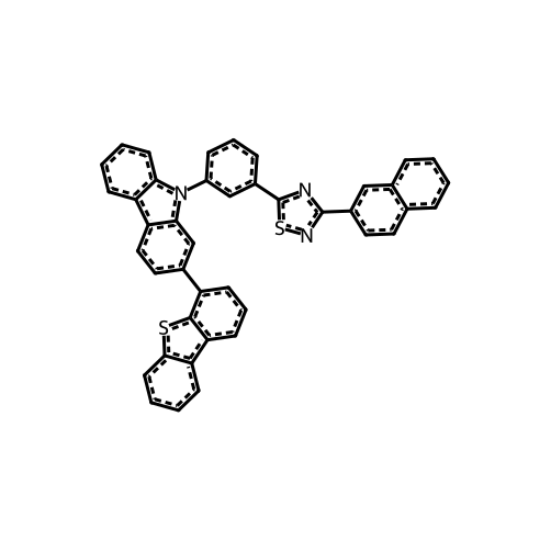 c1cc(-c2nc(-c3ccc4ccccc4c3)ns2)cc(-n2c3ccccc3c3ccc(-c4cccc5c4sc4ccccc45)cc32)c1